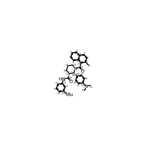 Cc1ccc2ccccc2c1C(=O)N1CCC[C@H](C(=O)Nc2cccc(C(C)(C)C)c2)[C@@H]1c1ccc(N(C)C)cc1